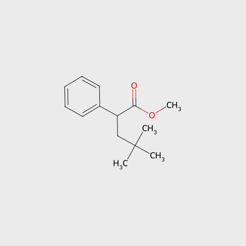 COC(=O)C(CC(C)(C)C)c1ccccc1